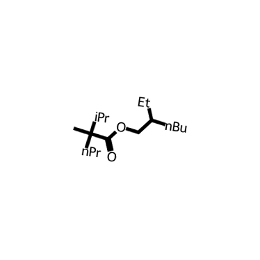 CCCCC(CC)COC(=O)C(C)(CCC)C(C)C